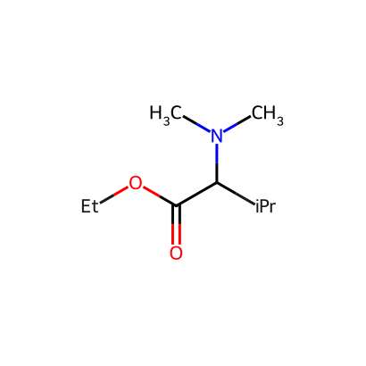 CCOC(=O)C(C(C)C)N(C)C